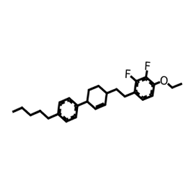 CCCCCc1ccc(C2C=CC(CCc3ccc(OCC)c(F)c3F)CC2)cc1